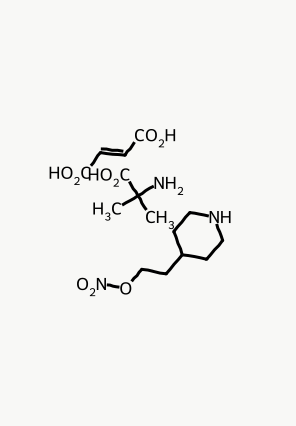 CC(C)(N)C(=O)O.O=C(O)C=CC(=O)O.O=[N+]([O-])OCCC1CCNCC1